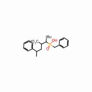 CC(CC(C(=O)O)C(C(C)(C)C)P(=O)(O)Cc1ccccc1)c1ccccc1